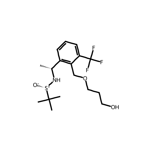 C[C@@H](N[S@@+]([O-])C(C)(C)C)c1cccc(C(F)(F)F)c1COCCCO